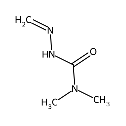 C=NNC(=O)N(C)C